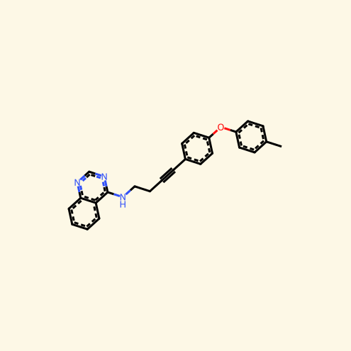 Cc1ccc(Oc2ccc(C#CCCNc3ncnc4ccccc34)cc2)cc1